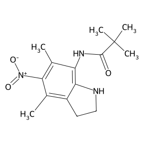 Cc1c2c(c(NC(=O)C(C)(C)C)c(C)c1[N+](=O)[O-])NCC2